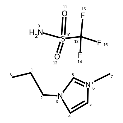 CCCn1cc[n+](C)c1.NS(=O)(=O)C(F)(F)F